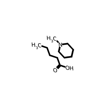 CCCCC(=O)O.CN1CCCCC1